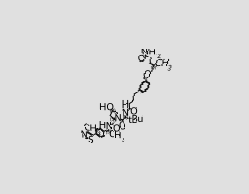 Cc1ncsc1-c1ccc([C@H](C)NC(=O)[C@@H]2C[C@@H](O)CN2C(=O)[C@@H](NC(=O)CCCc2cccc(OC[C@@H](C)CCC(N)=O)c2)C(C)(C)C)cc1